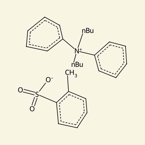 CCCC[N+](CCCC)(c1ccccc1)c1ccccc1.Cc1ccccc1S(=O)(=O)[O-]